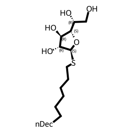 CCCCCCCCCCCCCCCCS[C@@H]1O[C@@H]([C@H](O)CO)[C@H](O)[C@H]1O